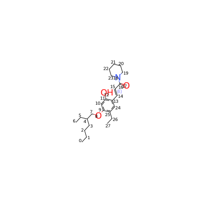 CCCCC(CC)COc1cc(O)c(/C=C/C(=O)N2CCCCC2)cc1CC